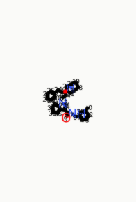 Cc1cccc(CNC(=O)c2cn(CCCN3C4CCC3CC(CCc3ccccc3)C4)c3ccccc23)c1